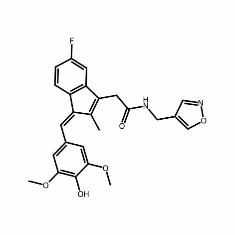 COc1cc(C=C2C(C)=C(CC(=O)NCc3cnoc3)c3cc(F)ccc32)cc(OC)c1O